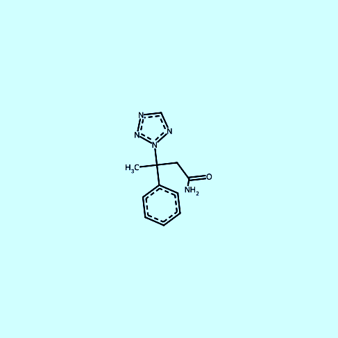 CC(CC(N)=O)(c1ccccc1)n1ncnn1